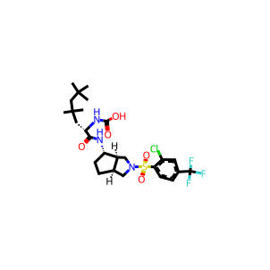 CC(C)(C)CC(C)(C)C[C@H](NC(=O)O)C(=O)N[C@H]1CC[C@@H]2CN(S(=O)(=O)c3ccc(C(F)(F)F)cc3Cl)C[C@@H]21